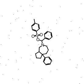 Cc1ccc(S(=O)(=O)OC(c2ccccc2)N2CCCC3(c4ccccc4)CCCC3C2)cc1